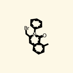 Cc1cccc2cc(CBr)n(-c3ccccc3)c(=O)c12